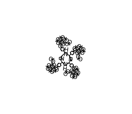 CC(=O)OC[C@H]1O[C@@H](Oc2ccc(-c3cc4[nH]c3cc3nc(c(-c5ccc(O[C@@H]6O[C@H](COC(C)=O)[C@@H](OC(C)=O)[C@H](OC(C)=O)[C@H]6OC(C)=O)cc5)c5ccc([nH]5)c(-c5ccc(O[C@@H]6O[C@H](COC(C)=O)[C@@H](OC(C)=O)[C@H](OC(C)=O)[C@H]6OC(C)=O)cc5)c5nc(c4-c4ccc(O[C@@H]6O[C@H](COC(C)=O)[C@@H](OC(C)=O)[C@H](OC(C)=O)[C@H]6OC(C)=O)cc4)CC5)CC3)cc2)[C@H](OC(C)=O)[C@@H](OC(C)=O)[C@@H]1OC(C)=O